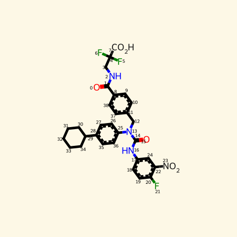 O=C(NCC(F)(F)C(=O)O)c1ccc(CN(C(=O)Nc2ccc(F)c([N+](=O)[O-])c2)c2ccc(C3CCCCC3)cc2)cc1